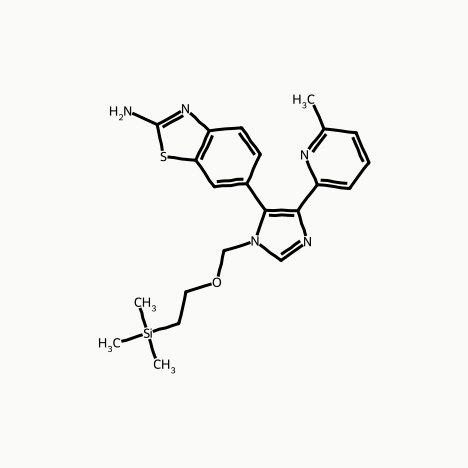 Cc1cccc(-c2ncn(COCC[Si](C)(C)C)c2-c2ccc3nc(N)sc3c2)n1